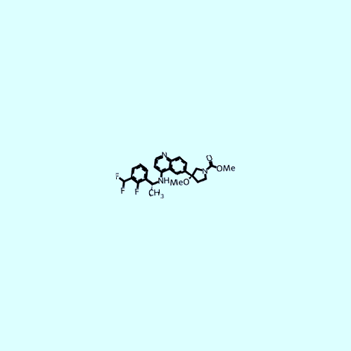 COC(=O)N1CC[C@](OC)(c2ccc3nccc(N[C@H](C)c4cccc(C(F)F)c4F)c3c2)C1